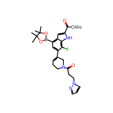 COC(=O)c1cc2c(B3OC(C)(C)C(C)(C)O3)cc(C3=CCCN(C(=O)CCn4cccn4)C3)c(F)c2[nH]1